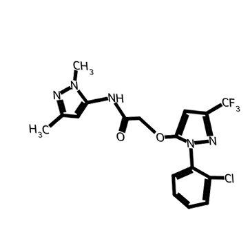 Cc1cc(NC(=O)COc2cc(C(F)(F)F)nn2-c2ccccc2Cl)n(C)n1